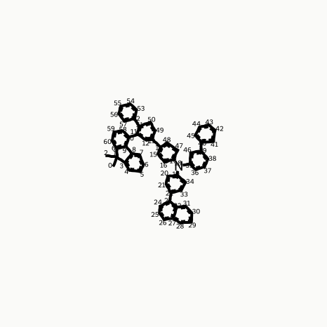 CC1(C)c2ccccc2-c2c(-c3cc(-c4ccc(N(c5ccc(-c6cccc7ccccc67)cc5)c5cccc(-c6ccccc6)c5)cc4)ccc3-c3ccccc3)cccc21